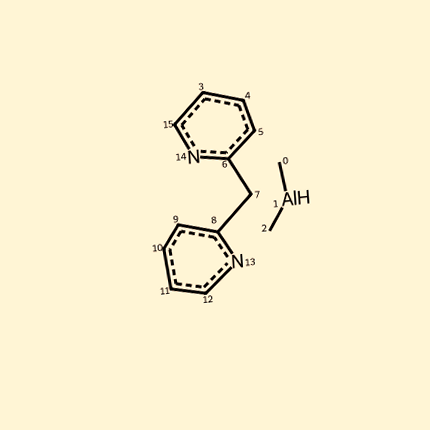 [CH3][AlH][CH3].c1ccc(Cc2ccccn2)nc1